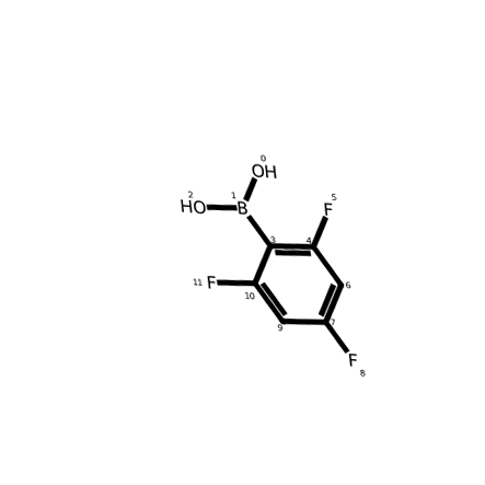 OB(O)c1c(F)cc(F)cc1F